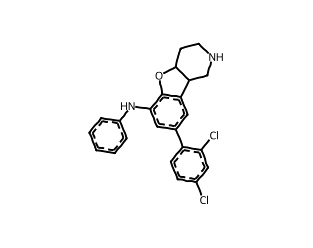 Clc1ccc(-c2cc(Nc3ccccc3)c3c(c2)C2CNCCC2O3)c(Cl)c1